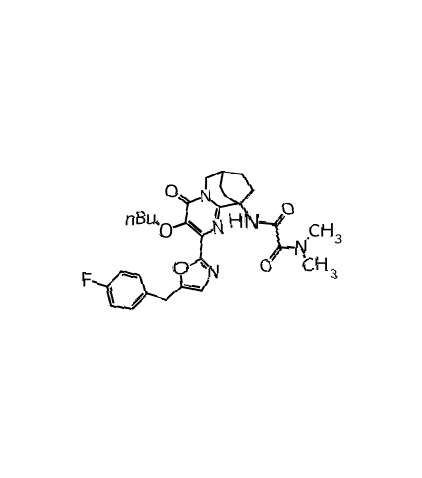 CCCCOc1c(-c2ncc(Cc3ccc(F)cc3)o2)nc2n(c1=O)CC1CCC2(NC(=O)C(=O)N(C)C)CC1